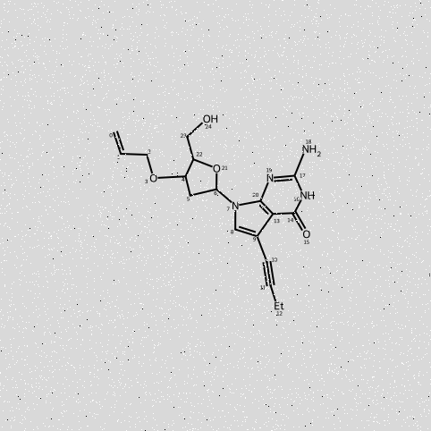 C=CCOC1CC(n2cc(C#CCC)c3c(=O)[nH]c(N)nc32)OC1CO